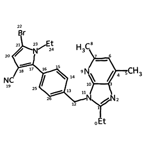 CCc1nc2c(C)cc(C)nc2n1Cc1ccc(-c2c(C#N)cc(Br)n2CC)cc1